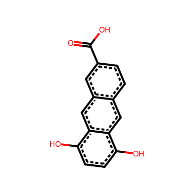 O=C(O)c1ccc2cc3c(O)ccc(O)c3cc2c1